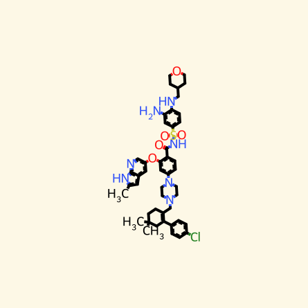 Cc1cc2cc(Oc3cc(N4CCN(CC5=C(c6ccc(Cl)cc6)CC(C)(C)CC5)CC4)ccc3C(=O)NS(=O)(=O)c3ccc(NCC4CCOCC4)c(N)c3)cnc2[nH]1